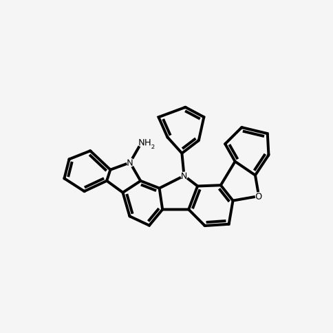 Nn1c2ccccc2c2ccc3c4ccc5oc6ccccc6c5c4n(-c4ccccc4)c3c21